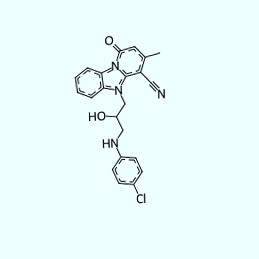 Cc1cc(=O)n2c3ccccc3n(CC(O)CNc3ccc(Cl)cc3)c2c1C#N